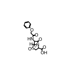 O=C(COc1ccccc1)NC1C(=O)N2C(C(=O)O)C[S+]([O-])[C@H]12